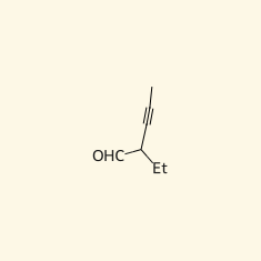 CC#CC(C=O)CC